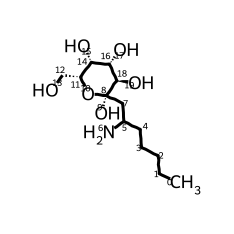 CCCCCC(N)C[C@@]1(O)O[C@H](CO)[C@H](O)[C@H](O)[C@H]1O